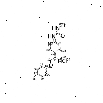 CCNC(=O)Nc1cc2cccc(COc3ccc(C)cn3)c2cn1.Cl